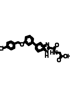 O=C(O)CNC(=O)c1nc2cc(-c3cccc(OCc4ccc(Cl)cc4)c3)ccc2[nH]1